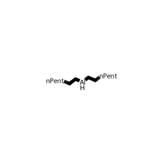 CCCCCC[CH2][AlH][CH2]CCCCCC